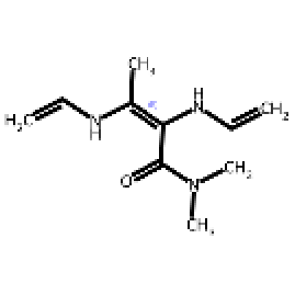 C=CN/C(C)=C(/NC=C)C(=O)N(C)C